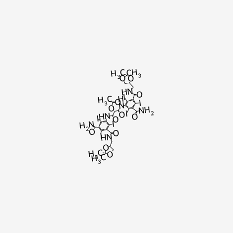 CC(=O)OC(C(=O)Nc1c(I)c(C(N)=O)c(I)c(C(=O)NCC2COC(C)(C)O2)c1I)C(=O)Nc1c(I)c(C(N)=O)c(I)c(C(=O)NCC2COC(C)(C)O2)c1I